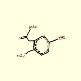 CNC(=O)c1cc(C(C)(C)C)ccc1C(=O)O